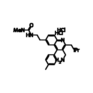 CNC(=O)NCCc1ccc2nc(CC(C)C)c(CN)c(-c3ccc(C)cc3)c2c1.Cl.Cl